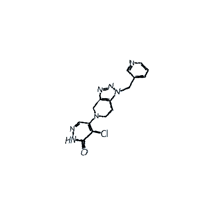 O=c1[nH]ncc(N2CCc3c(nnn3Cc3cccnc3)C2)c1Cl